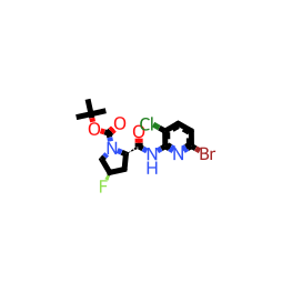 CC(C)(C)OC(=O)N1C[C@H](F)C[C@H]1C(=O)Nc1nc(Br)ccc1Cl